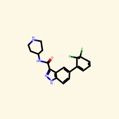 O=C(NC1CCNCC1)c1n[nH]c2ccc(-c3cccc(F)c3F)cc12